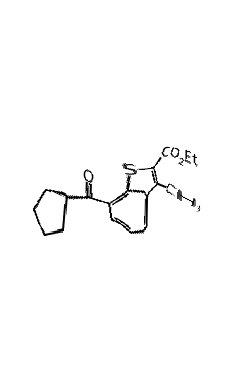 CCOC(=O)c1sc2c(C(=O)C3CCCC3)cccc2c1C